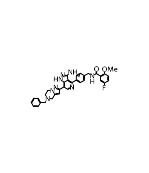 COc1ccc(F)cc1C(=O)NCc1ccc(-c2ncc(-c3cc4n(n3)CCN(Cc3ccccc3)C4)c3[nH]nc(N)c23)cc1